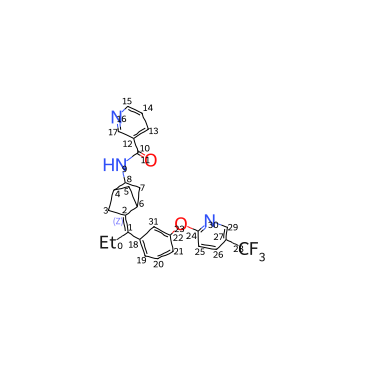 CC/C(=C1\CC2CC1CC2NC(=O)c1cccnc1)c1cccc(Oc2ccc(C(F)(F)F)cn2)c1